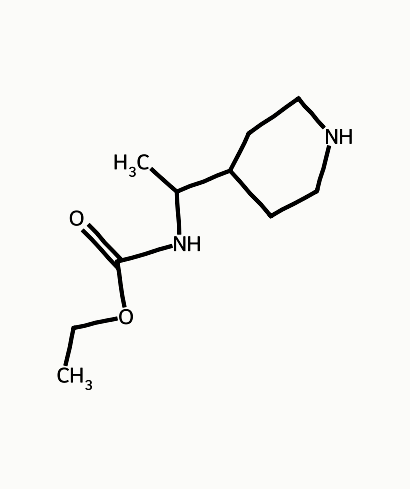 CCOC(=O)NC(C)C1CCNCC1